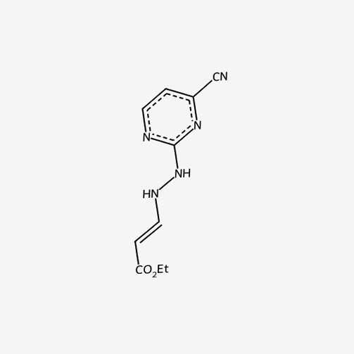 CCOC(=O)/C=C/NNc1nccc(C#N)n1